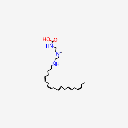 CC/C=C\CC=CCC=CC/C=C\C/C=C\CCCCNCCN(C)CCNC(=O)O